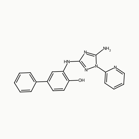 Nc1nc(Nc2cc(-c3ccccc3)ccc2O)nn1-c1ccccn1